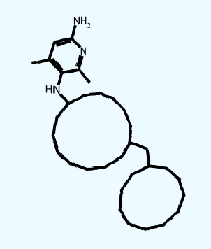 Cc1cc(N)nc(C)c1NC1CCCCCCCC(CC2CCCCCCCCCC2)CCCCC1